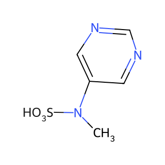 CN(c1cncnc1)S(=O)(=O)O